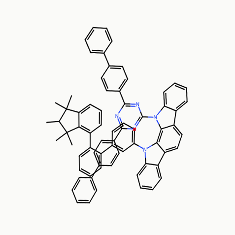 CC1C(C)(C)c2cccc(-c3ccccc3-c3cccc(-n4c5ccccc5c5ccc6c7ccccc7n(-c7nc(-c8ccc(-c9ccccc9)cc8)nc(-c8ccc(-c9ccccc9)cc8)n7)c6c54)c3)c2C1(C)C